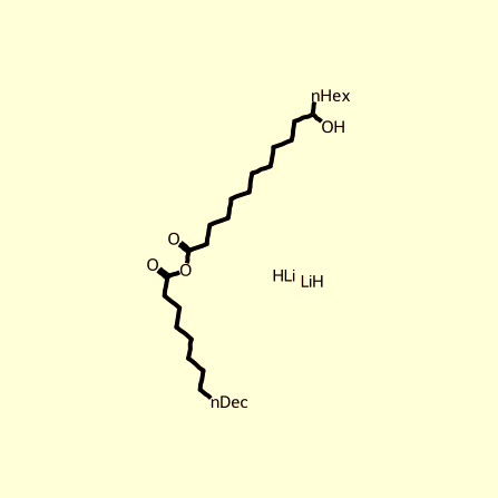 CCCCCCCCCCCCCCCCCC(=O)OC(=O)CCCCCCCCCCC(O)CCCCCC.[LiH].[LiH]